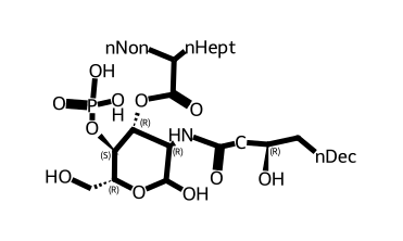 CCCCCCCCCCC[C@@H](O)CC(=O)N[C@H]1C(O)O[C@H](CO)[C@@H](OP(=O)(O)O)[C@@H]1OC(=O)C(CCCCCCC)CCCCCCCCC